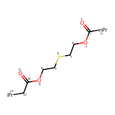 CCCC(=O)OCCSCCOC(=O)CC(C)C